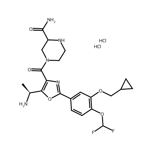 C[C@H](N)c1oc(-c2ccc(OC(F)F)c(OCC3CC3)c2)nc1C(=O)N1CCNC(C(N)=O)C1.Cl.Cl